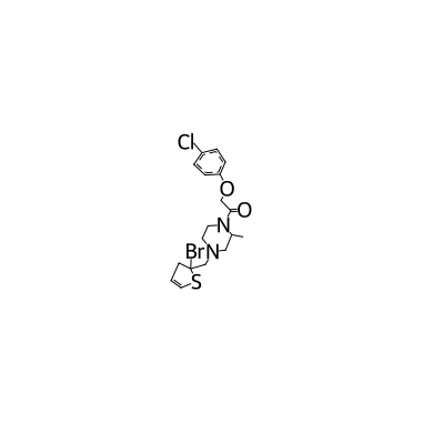 CC1CN(CC2(Br)CC=CS2)CCN1C(=O)COc1ccc(Cl)cc1